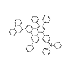 c1ccc(-c2ccc3c(c2)c2cc(-c4cc5ccccc5c5ccccc45)ccc2c2c(-c4ccccc4)c(-c4ccccc4)cc(-c4ccc(N(c5ccccc5)c5ccccc5)cc4)c32)cc1